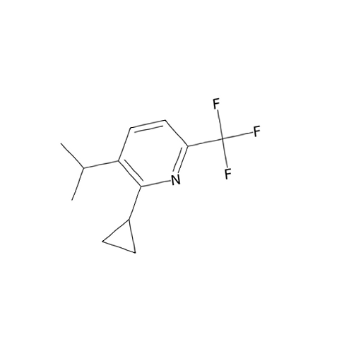 CC(C)c1ccc(C(F)(F)F)nc1C1CC1